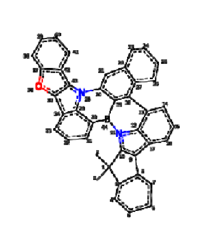 CC1(C)c2ccccc2-c2c1n1c3c(cccc23)-c2c3c(cc4ccccc24)-n2c4c(cccc4c4oc5ccccc5c42)B31